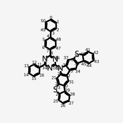 c1ccc(-c2ccc(-c3nc(-c4ccccc4)nc(-n4c5cc6sc7ccccc7c6cc5c5cc6c(cc54)sc4ccccc46)n3)cc2)cc1